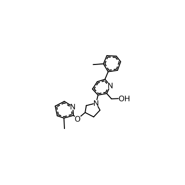 Cc1ccccc1-c1ccc(N2CCC(Oc3ncccc3C)C2)c(CO)n1